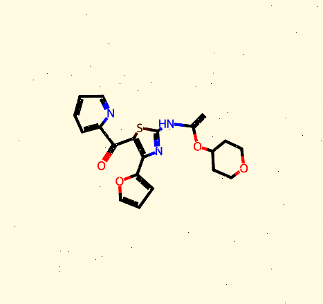 C=C(Nc1nc(-c2ccco2)c(C(=O)c2ccccn2)s1)OC1CCOCC1